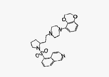 O=S(=O)(c1cccc2cnccc12)N1CCCC1CCN1CCN(c2cccc3c2OCCO3)CC1